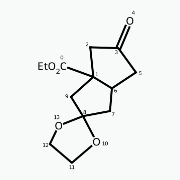 CCOC(=O)C12CC(=O)CC1CC1(C2)OCCO1